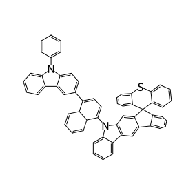 C1=CC2C(c3ccc4c(c3)c3ccccc3n4-c3ccccc3)=CC=C(n3c4ccccc4c4cc5c(cc43)C3(c4ccccc4Sc4ccccc43)c3ccccc3-5)C2C=C1